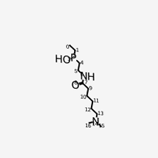 CCP(O)CCNC(=O)CCCCCN(C)C